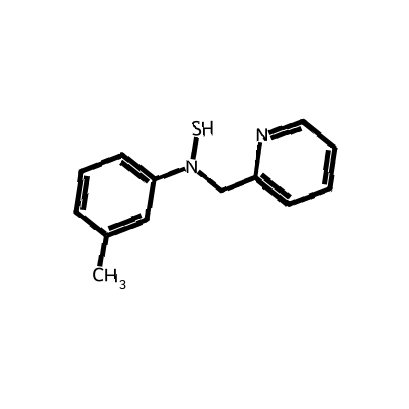 Cc1cccc(N(S)Cc2ccccn2)c1